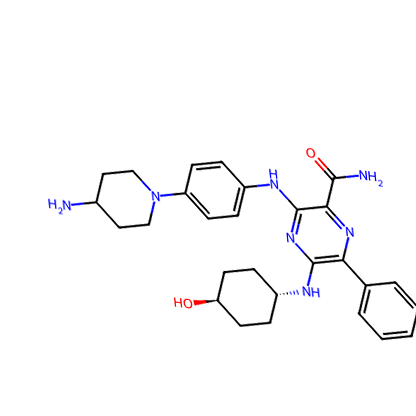 NC(=O)c1nc(-c2ccccc2)c(N[C@H]2CC[C@H](O)CC2)nc1Nc1ccc(N2CCC(N)CC2)cc1